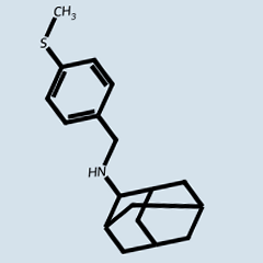 CSc1ccc(CNC2C3CC4CC(C3)CC2C4)cc1